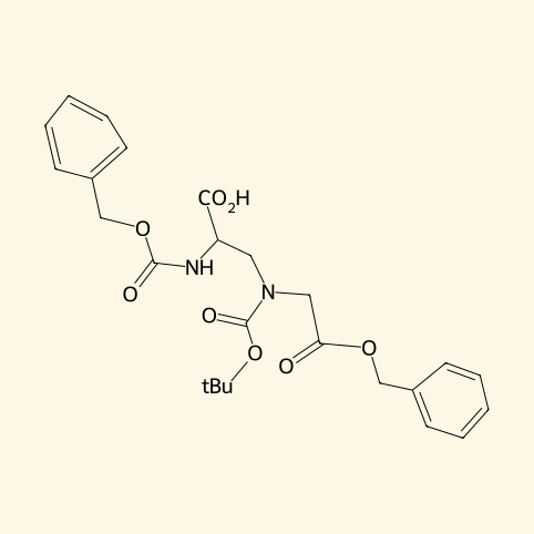 CC(C)(C)OC(=O)N(CC(=O)OCc1ccccc1)CC(NC(=O)OCc1ccccc1)C(=O)O